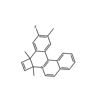 Cc1cc2c(cc1F)C1(C)C=CC1(C)[n+]1ccc3ccccc3c1-2